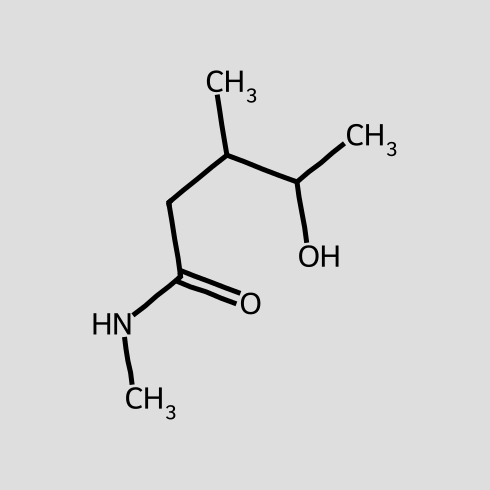 CNC(=O)CC(C)C(C)O